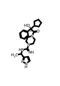 CC(NC(=N)N1CCN(C(=O)[C@](O)(c2ccccc2)C2CCCC2)CC1)c1cc[nH]n1